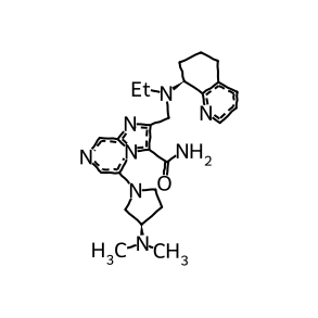 CCN(Cc1nc2cncc(N3CC[C@@H](N(C)C)C3)n2c1C(N)=O)[C@H]1CCCc2cccnc21